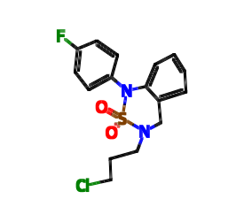 O=S1(=O)N(CCCCl)Cc2ccccc2N1c1ccc(F)cc1